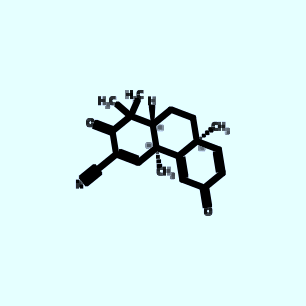 CC1(C)C(=O)C(C#N)=C[C@]2(C)C3=CC(=O)C=C[C@]3(C)CC[C@@H]12